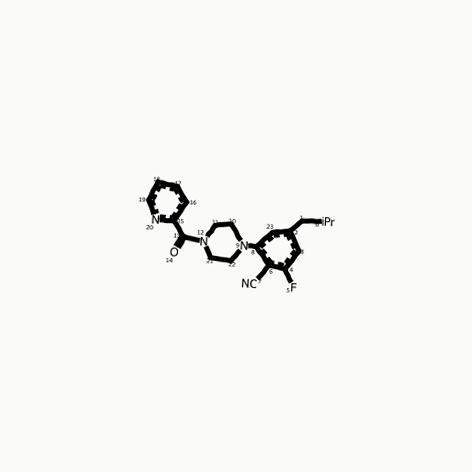 CC(C)Cc1cc(F)c(C#N)c(N2CCN(C(=O)c3ccccn3)CC2)c1